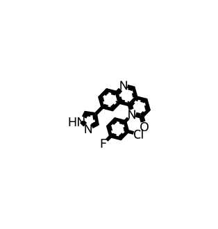 O=c1ccc2cnc3ccc(-c4cn[nH]c4)cc3c2n1-c1ccc(F)cc1Cl